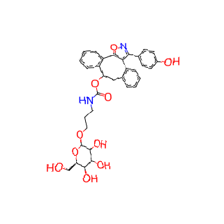 O=C(NCCCO[C@@H]1O[C@H](CO)[C@H](O)C(O)C1O)OC1Cc2ccccc2-c2c(-c3ccc(O)cc3)noc2-c2ccccc21